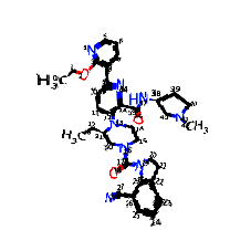 CCOc1ncccc1-c1ccc(N2CCN(C(=O)N3CCc4cccc(C#N)c43)C[C@H]2CC)c(C(=O)N[C@@H]2CCN(C)C2)n1